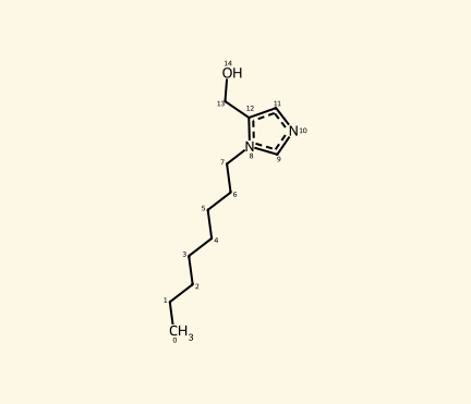 CCCCCCCCn1cncc1CO